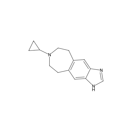 c1nc2cc3c(cc2[nH]1)CCN(C1CC1)CC3